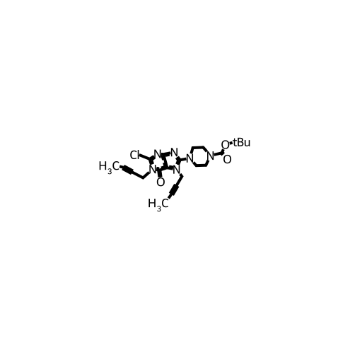 CC#CCn1c(Cl)nc2nc(N3CCN(C(=O)OC(C)(C)C)CC3)n(CC#CC)c2c1=O